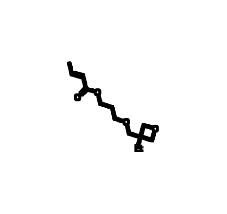 CC=CC(=O)OCCCOCC1(CC)COC1